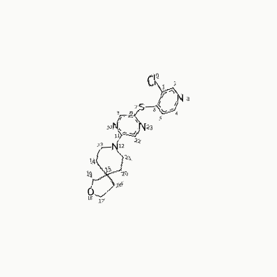 Clc1cnccc1Sc1cnc(N2CCC3(CCOC3)CC2)cn1